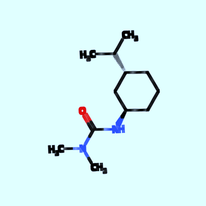 CC(C)[C@@H]1CCC[C@@H](NC(=O)N(C)C)C1